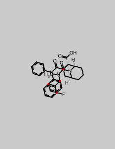 CN(Cc1ccccc1F)C(=O)N1[C@H]2CCC[C@@H]1[C@@H](C(=O)O)N(C(=O)N(c1ccccc1)c1ccccc1)C2